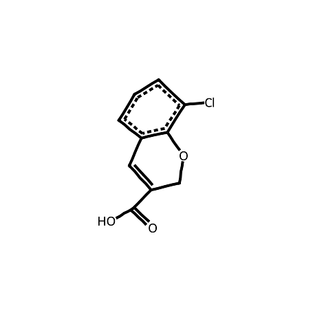 O=C(O)C1=Cc2cccc(Cl)c2OC1